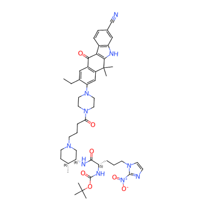 CCc1cc2c(cc1N1CCN(C(=O)CCCN3CC[C@@H](C)[C@@H](NC(=O)[C@H](CCCn4ccnc4[N+](=O)[O-])NC(=O)OC(C)(C)C)C3)CC1)C(C)(C)c1[nH]c3cc(C#N)ccc3c1C2=O